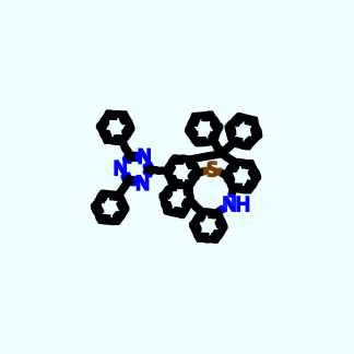 c1ccc(-c2nc(-c3ccccc3)nc(-c3cc4c5c6c(cccc36)-c3ccccc3Nc3cccc(c3S5)C4(c3ccccc3)c3ccccc3)n2)cc1